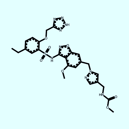 CCc1ccc(OCc2nn[nH]n2)c(S(=O)(=O)Nc2noc3cc(Cn4cc(CNC(=O)OC)cn4)cc(OC)c23)c1